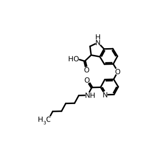 CCCCCCNC(=O)c1cc(Oc2ccc3c(c2)C(C(=O)O)CN3)ccn1